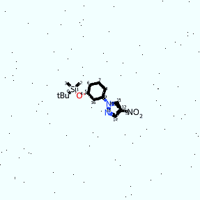 CC(C)(C)[Si](C)(C)O[C@@H]1CCCC(n2cc([N+](=O)[O-])cn2)C1